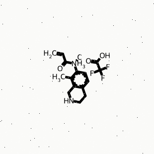 C=CC(=O)N(C)c1ccc2c(c1C)CNCC2.O=C(O)C(F)(F)F